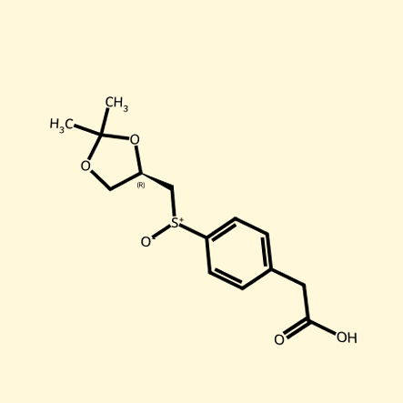 CC1(C)OC[C@H](C[S+]([O-])c2ccc(CC(=O)O)cc2)O1